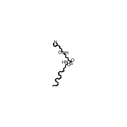 CC/C=C\C/C=C\C/C=C\C/C=C\C/C=C\CCCC(=O)NC(CCCCNC(=O)C/C=C/c1cccnc1)C(=O)OC